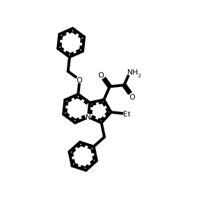 CCc1c(C(=O)C(N)=O)c2c(OCc3ccccc3)cccn2c1Cc1ccccc1